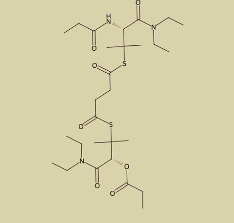 CCC(=O)N[C@H](C(=O)N(CC)CC)C(C)(C)SC(=O)CCC(=O)SC(C)(C)[C@H](OC(=O)CC)C(=O)N(CC)CC